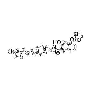 CC(=O)Oc1cccc2cc(C(=O)NCCN3CCN(CCSCc4ccc(Cl)s4)CC3)c(O)cc12